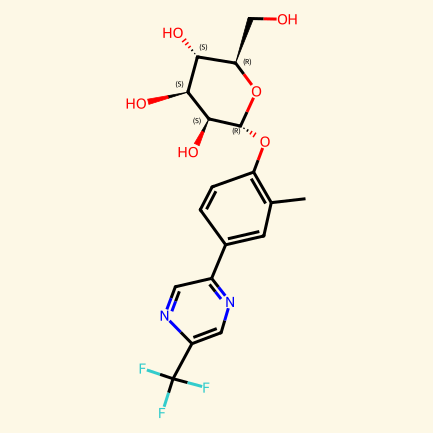 Cc1cc(-c2cnc(C(F)(F)F)cn2)ccc1O[C@H]1O[C@H](CO)[C@@H](O)[C@H](O)[C@@H]1O